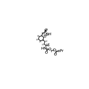 CCCC(=O)OCOC(=O)NC(F)CCC1CCCC(C[PH](=O)O)C1